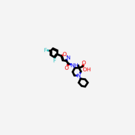 CC1(C(=O)O)CN(C2CCCCC2)CCC1NC(=O)c1cc(-c2ccc(F)cc2F)on1